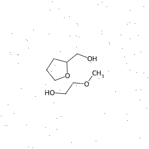 COCCO.OCC1CCCO1